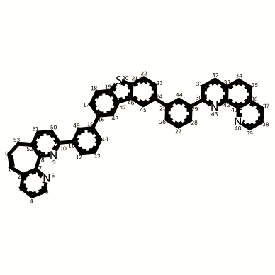 C1=Cc2cccnc2-c2nc(-c3cccc(-c4ccc5sc6ccc(-c7cccc(-c8ccc9ccc%10cccnc%10c9n8)c7)cc6c5c4)c3)ccc2C1